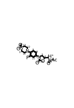 CC(=O)[N@@H+]([O-])CC1CN(c2ccc(N3CCS(=O)(=O)CC3)c(F)c2)C(=O)O1